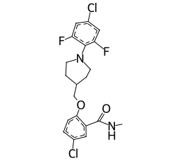 CNC(=O)c1cc(Cl)ccc1OCC1CCN(c2c(F)cc(Cl)cc2F)CC1